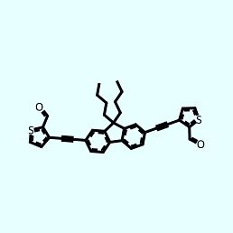 CCCCC1(CCCC)c2cc(C#Cc3ccsc3C=O)ccc2-c2ccc(C#Cc3ccsc3C=O)cc21